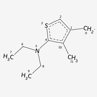 [CH2]c1csc(N(CC)CC)c1C